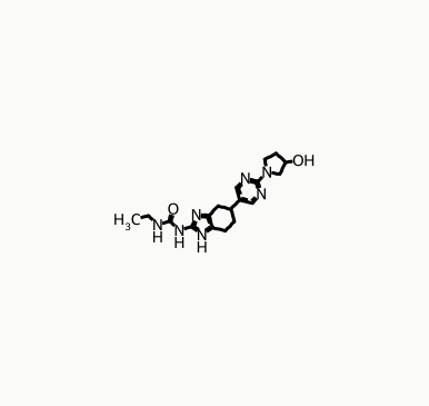 CCNC(=O)Nc1nc2c([nH]1)CCC(c1cnc(N3CCC(O)C3)nc1)C2